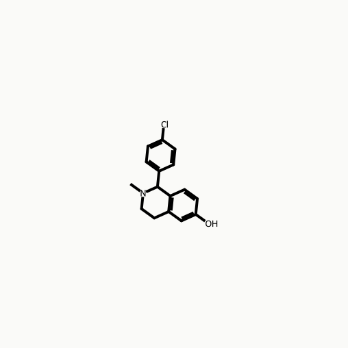 CN1CCc2cc(O)ccc2C1c1ccc(Cl)cc1